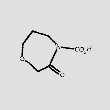 O=C(O)N1CCCOCC1=O